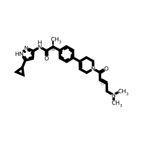 C[C@H](C(=O)Nc1cc(C2CC2)[nH]n1)c1ccc(C2=CCN(C(=O)/C=C/CN(C)C)CC2)cc1